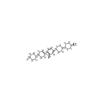 CCC1CCC(C2CCC(c3ccc(C4=CCC(C5CCC(C)CC5)CC4)c(F)c3)CC2)CC1